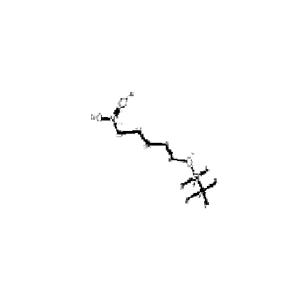 CC(C)(C)[Si](C)(C)OCCCCC[N+](=O)[O-]